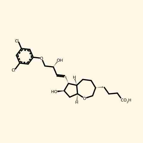 O=C(O)CCC[C@H]1CC[C@@H]2[C@@H](C=C[C@@H](O)COc3cc(Cl)cc(Cl)c3)[C@H](O)C[C@@H]2OC1